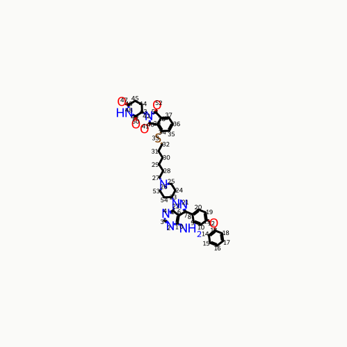 Nc1ncnc2c1c(-c1ccc(Oc3ccccc3)cc1)nn2C1CCN(CCCCCCSc2cccc3c2C(=O)N(C2CCC(=O)NC2=O)C3=O)CC1